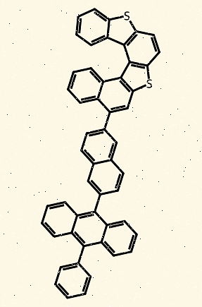 c1ccc(-c2c3ccccc3c(-c3ccc4cc(-c5cc6sc7ccc8sc9ccccc9c8c7c6c6ccccc56)ccc4c3)c3ccccc23)cc1